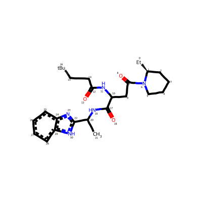 CC[C@H]1CCCCN1C(=O)CC(NC(=O)CCC(C)(C)C)C(=O)NC(C)c1nc2ccccc2[nH]1